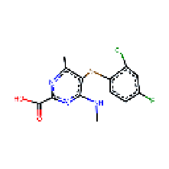 CNc1nc(C(=O)O)nc(C)c1Sc1ccc(F)cc1Cl